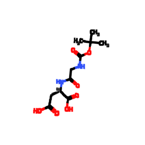 CC(C)(C)OC(=O)NCC(=O)N[C@@H](CC(=O)O)C(=O)O